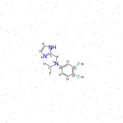 CC(C)N(Cc1ncc[nH]1)c1ccc(F)c(F)c1